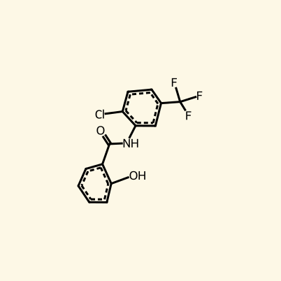 O=C(Nc1cc(C(F)(F)F)ccc1Cl)c1ccccc1O